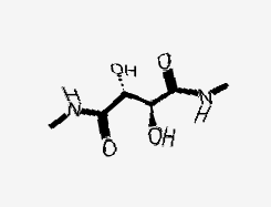 CNC(=O)[C@@H](O)[C@@H](O)C(=O)NC